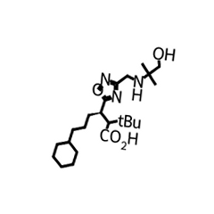 CC(C)(CO)NCc1noc([C@H](CCCC2CCCCC2)C(C(=O)O)C(C)(C)C)n1